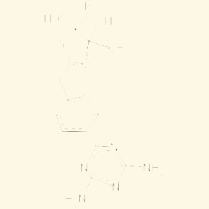 CC1(C)OB(Cc2ccc(-c3nc(N)nc(N)n3)cc2)OC1(C)C